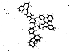 c1ccc(-c2c(-c3ccccc3)c3cc(N(c4ccc(-c5ccc(-c6cccc7ccccc67)cc5)cc4)c4cccc(-c5cccc6c5oc5ccccc56)c4)ccc3c3ccccc23)cc1